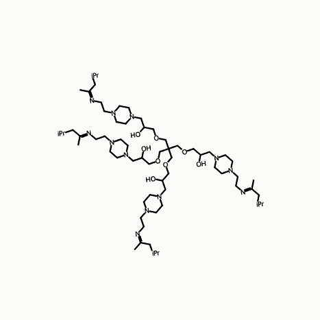 C/C(CC(C)C)=N/CCN1CCN(CC(O)COCC(COCC(O)CN2CCN(CC/N=C(/C)CC(C)C)CC2)(COCC(O)CN2CCN(CC/N=C(\C)CC(C)C)CC2)COCC(O)CN2CCN(CC/N=C(\C)CC(C)C)CC2)CC1